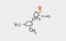 Cc1cc(C)cc(C)c1.O=Cc1ccccc1P=O